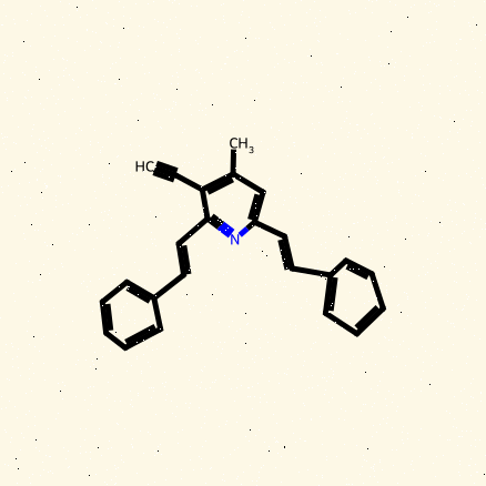 C#Cc1c(C)cc(C=Cc2ccccc2)nc1C=Cc1ccccc1